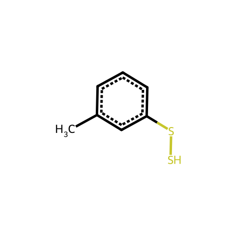 Cc1cccc(SS)c1